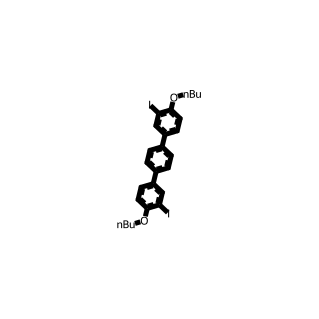 CCCCOc1ccc(-c2ccc(-c3ccc(OCCCC)c(I)c3)cc2)cc1I